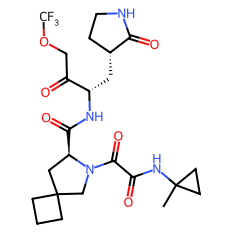 CC1(NC(=O)C(=O)N2CC3(CCC3)C[C@H]2C(=O)N[C@@H](C[C@@H]2CCNC2=O)C(=O)COC(F)(F)F)CC1